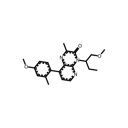 CCC(COC)n1c(=O)c(C)nc2c(-c3ccc(OC)cc3C)ccnc21